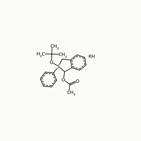 CC(=O)OC1c2ccccc2CS1(OC(C)(C)C)c1ccccc1.[KH]